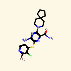 NC(=O)c1nc(Sc2ccnc(C(F)(F)F)c2Cl)c(N)nc1N1CCC2(CCCC2)CC1